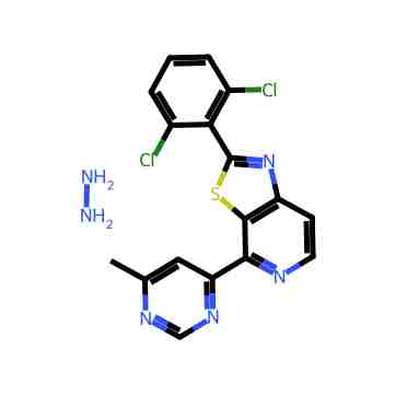 Cc1cc(-c2nccc3nc(-c4c(Cl)cccc4Cl)sc23)ncn1.NN